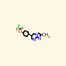 Cc1cn2cc(-c3ccc(OC(F)(F)F)cc3)cnc2n1